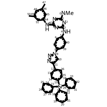 CNc1nc(Nc2ccc(-n3cc(-c4ccc([Si](c5ccccc5)(c5ccccc5)c5ccccc5)cc4)nn3)cc2)nc(Nc2cc(C)cc(C)c2)n1